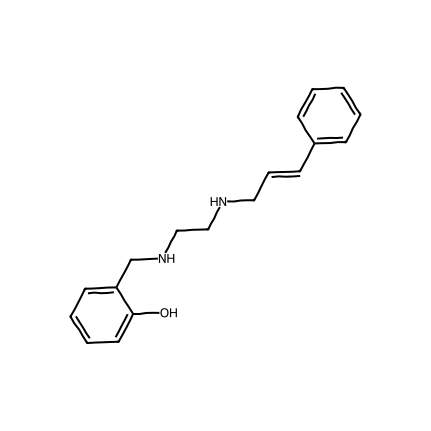 Oc1ccccc1CNCCNCC=Cc1ccccc1